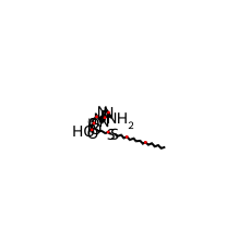 CCCCCCCCCCCCCCCCSSCCCCOP(=O)(O)CO[C@H](C)Cn1cnc2c(N)ncnc21